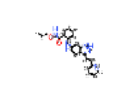 C=CCONC(=O)c1ccccc1Nc1ccc2c(C=Cc3ccccn3)n[nH]c2c1